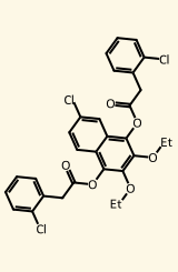 CCOc1c(OCC)c(OC(=O)Cc2ccccc2Cl)c2cc(Cl)ccc2c1OC(=O)Cc1ccccc1Cl